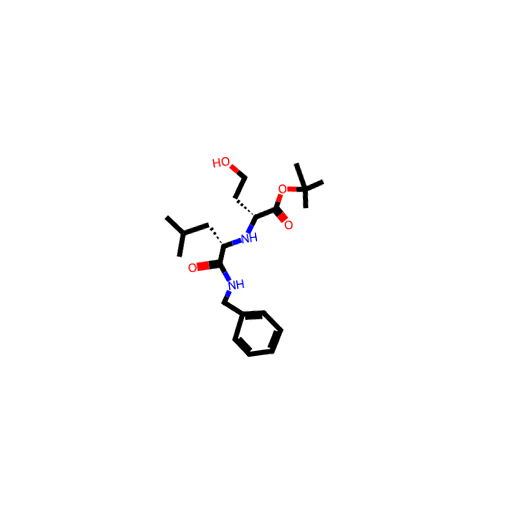 CC(C)C[C@H](N[C@H](CCO)C(=O)OC(C)(C)C)C(=O)NCc1ccccc1